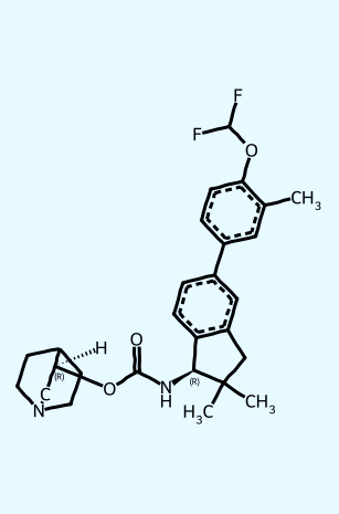 Cc1cc(-c2ccc3c(c2)CC(C)(C)[C@H]3NC(=O)O[C@H]2CN3CCC2CC3)ccc1OC(F)F